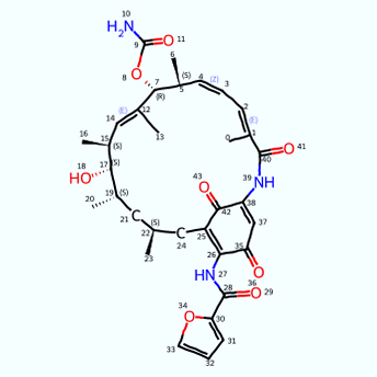 C/C1=C\C=C/[C@H](C)[C@@H](OC(N)=O)/C(C)=C/[C@H](C)[C@@H](O)[C@@H](C)C[C@H](C)CC2=C(NC(=O)c3ccco3)C(=O)C=C(NC1=O)C2=O